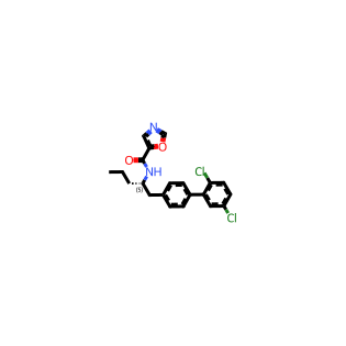 CCC[C@@H](Cc1ccc(-c2cc(Cl)ccc2Cl)cc1)NC(=O)c1cnco1